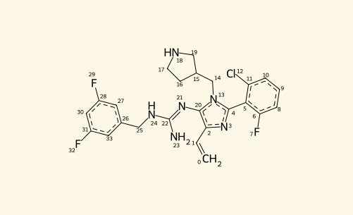 C=Cc1nc(-c2c(F)cccc2Cl)n(CC2CCNC2)c1/N=C(\N)NCc1cc(F)cc(F)c1